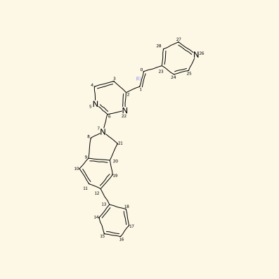 C(=C\c1ccnc(N2Cc3ccc(-c4ccccc4)cc3C2)n1)/c1ccncc1